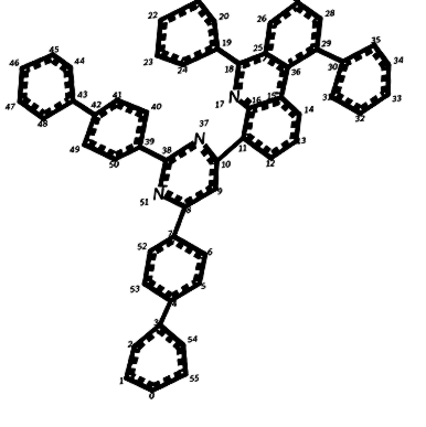 c1ccc(-c2ccc(-c3cc(-c4cccc5c4nc(-c4ccccc4)c4cccc(-c6ccccc6)c45)nc(-c4ccc(-c5ccccc5)cc4)n3)cc2)cc1